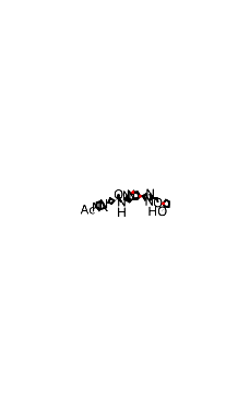 CC(=O)N1CCN([C@H]2C[C@@H](C(=O)Nc3cc4cc(-c5cnc(CO[C@H]6CCC[C@@H]6O)nc5)ccn4n3)C2)[C@@H](C)C1